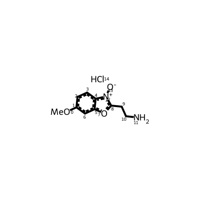 COc1ccc2c(c1)oc(CCN)[n+]2[O-].Cl